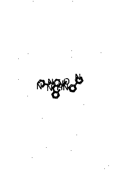 Cc1ccccc1-c1nc(-c2cccnc2)nc2c1CN(C(=O)Nc1cccc(-c3cccnc3)c1)CC2